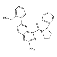 Nc1nc(C(=O)N2CCCC2c2ccccc2)c2cc(-c3ccccc3CO)ccc2n1